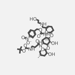 C[C@@H]1CO[C@H](O[C@@H]2[C@@H](O)[C@H](O[C@@H]3CCC=C(CNCCO)O3)[C@@H](NC(=O)OCc3ccc([N+](=O)[O-])cc3)C[C@H]2NC(=O)CCNC(=O)OC(C)(C)C)[C@H](O)C1